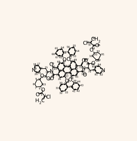 C=C(Cl)C(=O)OC1CCCC(OC(=O)C(Cc2ccncc2)N2C(=O)c3cc(Oc4ccccc4)c4c5c(Oc6ccccc6)cc6c7c(cc(Oc8ccccc8)c(c8c(Oc9ccccc9)cc(c3c48)C2=O)c75)C(=O)N(C(Cc2ccncc2)C(=O)OC2CCCC(OC(=O)C(=C)Cl)C2)C6=O)C1